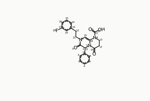 O=C1[C@H](c2ccccc2)N2C(=O)CCN(C(=O)O)C2=CN1CCc1cccc(F)c1